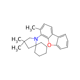 Cc1ccc2c(oc3ccccc32)c1N1CC(C)(C)CC12CCCCC2